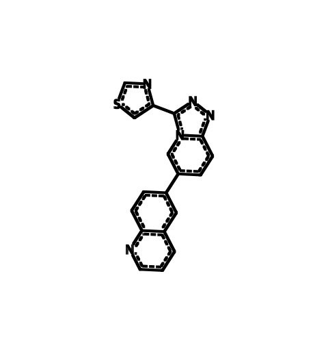 c1cnc2ccc(-c3ccc4nnc(-c5cscn5)n4c3)cc2c1